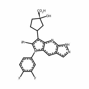 CC(C)c1c(C2CC[C@@](O)(C(=O)O)C2)c2nc3[nH]ncc3cc2n1-c1ccc(F)c(F)c1